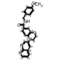 CSc1ccc(CNC(=O)c2ccc3c(c2)OCCN3c2cnc3ncccc3c2)cc1